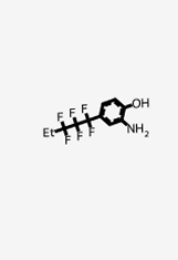 CCC(F)(F)C(F)(F)C(F)(F)c1ccc(O)c(N)c1